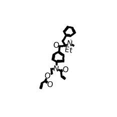 C=CC(=O)OCCN(C(=O)C=C)c1ccc(C(=O)C(CC)(Cc2ccccc2)N(C)C)cc1